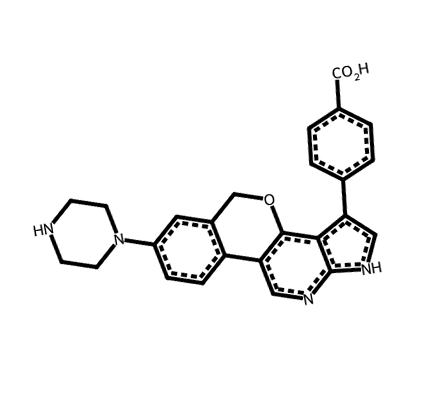 O=C(O)c1ccc(-c2c[nH]c3ncc4c(c23)OCc2cc(N3CCNCC3)ccc2-4)cc1